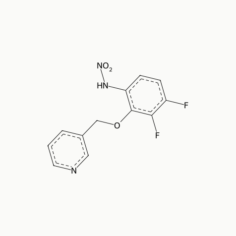 O=[N+]([O-])Nc1ccc(F)c(F)c1OCc1cccnc1